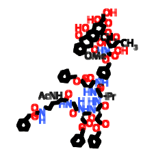 COc1cccc2c1C(=O)c1c(O)c3c(c(O)c1C2=O)C[C@@](O)(C(=O)CO)C[C@]3(C)O[C@H]1C[C@H](NC(=O)OCc2ccc(NC(=O)[C@H](CC(=O)OCc3ccccc3)NC(=O)[C@@H](NC(=O)[C@H](CCC(=O)OCc3ccccc3)NC(=O)[C@H](CC(=O)OCc3ccccc3)NC(=O)CNC(=O)[C@H](CCCCNC(=O)OCc3ccccc3)NC(C)=O)C(C)C)cc2)[C@H](O)[C@H](C)O1